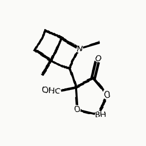 CN1C2CCC2(C)C1C1(C=O)OBOC1=O